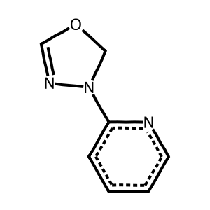 C1=NN(c2ccccn2)CO1